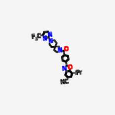 CC(C)c1cc(C#N)cc2nc(-c3ccc(C(=O)N4CCC5(CCN(c6nccc(C(F)(F)F)n6)CC5)C4)cc3)oc12